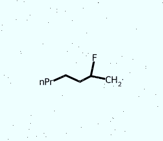 [CH2]C(F)CCCCC